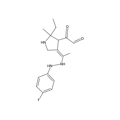 CCC1(C)NCC(=C(C)NNc2ccc(F)cc2)C1C(=O)C=O